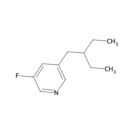 CCC(CC)Cc1cncc(F)c1